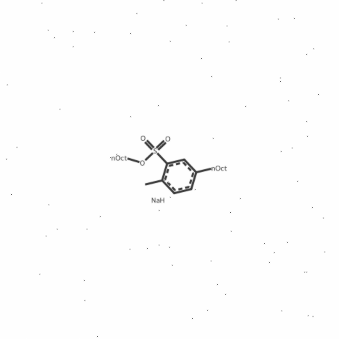 CCCCCCCCOS(=O)(=O)c1cc(CCCCCCCC)ccc1C.[NaH]